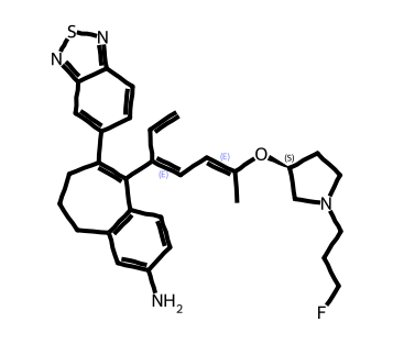 C=C/C(=C\C=C(/C)O[C@H]1CCN(CCCF)C1)C1=C(c2ccc3nsnc3c2)CCCc2cc(N)ccc21